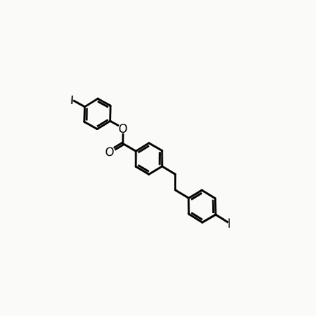 O=C(Oc1ccc(I)cc1)c1ccc(CCc2ccc(I)cc2)cc1